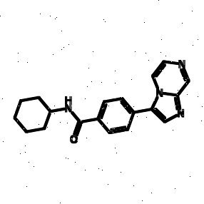 O=C(NC1CCCCC1)c1ccc(-c2cnc3cnccn23)cc1